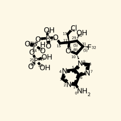 Nc1ncnc2c1ncn2[C@@H]1O[C@](CCl)(COP(=O)(O)OP(=O)(O)OP(=O)(O)O)[C@H](O)[C@@H]1F